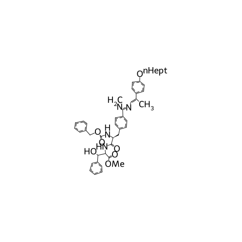 C=N/C(=N\C=C(/C)c1ccc(OCCCCCCC)cc1)c1ccc(C[C@H](NC(=O)OCc2ccccc2)C(=O)NC(C(=O)OC)C(O)c2ccccc2)cc1